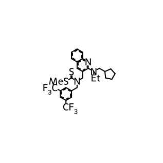 CCN(CC1CCCC1)c1nc2ccccc2cc1CN(Cc1cc(C(F)(F)F)cc(C(F)(F)F)c1)C(=S)SC